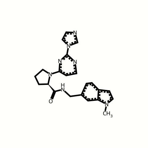 Cn1ccc2ccc(CNC(=O)[C@H]3CCCN3c3ccnc(-n4ccnc4)n3)cc21